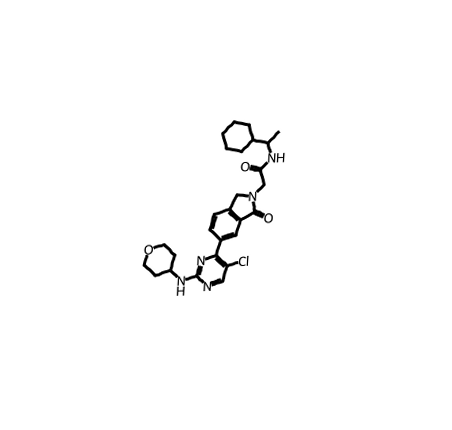 CC(NC(=O)CN1Cc2ccc(-c3nc(NC4CCOCC4)ncc3Cl)cc2C1=O)C1CCCCC1